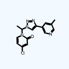 Cc1cncc(-c2cn(C(C)n3ccc(Cl)cc3=O)nn2)c1